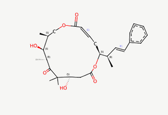 C[C@H](/C=C/c1ccccc1)[C@@H]1C/C=C/C(=O)OC[C@H](C)[C@H](O)[C@@H](C)C(=O)C(C)(C)[C@@H](O)CC(=O)O1